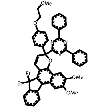 CCC1(CC)c2ccccc2-c2c1c1c(c3cc(OC)c(OC)cc23)OC(c2ccc(OCCOC)cc2)(c2nc(-c3ccccc3)nc(-c3ccccc3)n2)C=C1